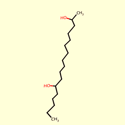 CCCCCC(O)CCCCCCCCCC(C)O